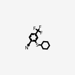 N#Cc1ccc(C(F)(F)F)cc1SC1CCCCC1